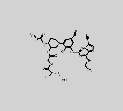 CCNc1nc(Nc2cc(C#N)cc(N3CC[C@@H](NC(=O)OC)[C@H](OC(=O)CNC(=O)[C@H](C)N)C3)c2Cl)nn2c(C#N)cnc12.Cl